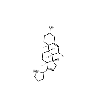 CC1C=C2C[C@@H](O)CC[C@]2(C)[C@H]2CC[C@]3(C)C(C4CCCN4)=CC[C@H]3[C@H]12